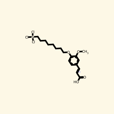 COc1cc(/C=C/C(=O)O)ccc1OCCCCCCCC[Si](Cl)(Cl)Cl